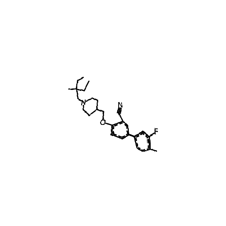 CCC(C)(CC)CN1CCC(COc2ccc(-c3ccc(C)c(F)c3)cc2C#N)CC1